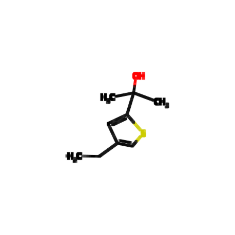 [CH2]Cc1csc(C(C)(C)O)c1